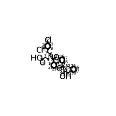 O=C(O)CCN(CCc1ccc(Cl)cc1Cl)C(=O)c1ccccc1-c1ccccc1C(=O)N1Cc2ccccc2C[C@H]1CO